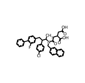 CC(C(Cc1ccc(-c2ccccc2)c(F)c1)c1ccc(Cl)cc1)N(Cc1ccc2ccccc2c1)C(=O)CC(CC(=O)O)C(=O)O